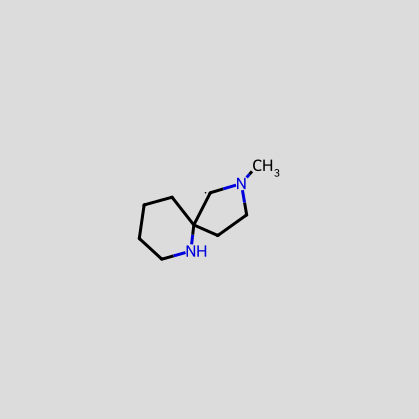 CN1[CH]C2(CCCCN2)CC1